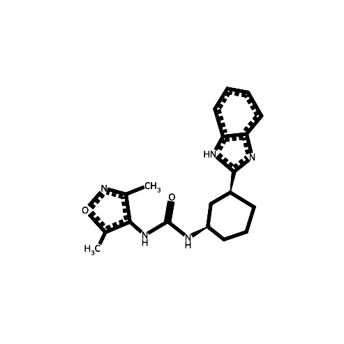 Cc1noc(C)c1NC(=O)N[C@@H]1CCC[C@H](c2nc3ccccc3[nH]2)C1